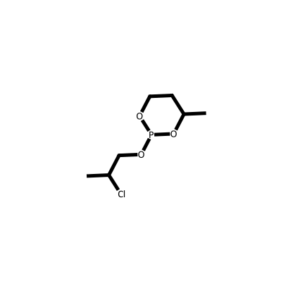 CC(Cl)COP1OCCC(C)O1